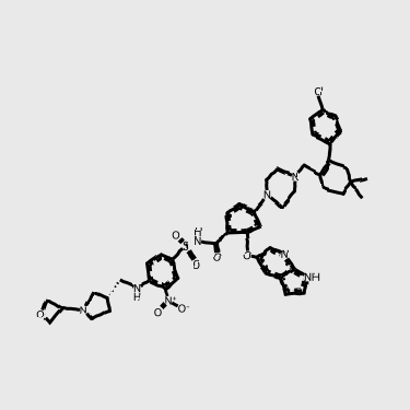 CC1(C)CCC(CN2CCN(c3ccc(C(=O)NS(=O)(=O)c4ccc(NC[C@@H]5CCN(C6COC6)C5)c([N+](=O)[O-])c4)c(Oc4cnc5[nH]ccc5c4)c3)CC2)=C(c2ccc(Cl)cc2)C1